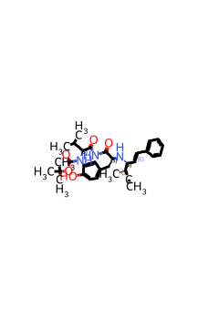 CC[C@H](C)[C@@H](/C=C/c1ccccc1)N[C@@H](Cc1ccc(O)cc1)C(=O)NC(=O)[C@@H](NC(=O)OC(C)(C)C)C(C)C